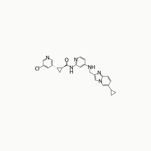 O=C(Nc1cc(NCc2cn3cc(C4CC4)ccc3n2)ccn1)[C@H]1C[C@@H]1c1cncc(Cl)c1